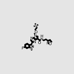 Cn1nc(-c2cnc3c(n2)c(C(=O)NCCc2ccon2)cn3COCC[Si](C)(C)C)c2ccc(F)cc21